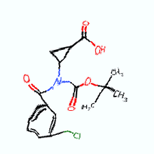 CC(C)(C)OC(=O)N(C(=O)c1cccc(Cl)c1)C1CC1C(=O)O